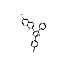 Fc1ccc(-c2cc(-c3ccc4cc(F)ccc4n3)n(-c3ccccc3)n2)cc1